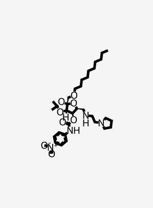 CCCCCCCCCCOC[C@@]12O[C@@H](CNCCN3CCCC3)[C@@H](OC(=O)Nc3ccc([N+](=O)[O-])cc3)[C@@H]1OC(C)(C)O2